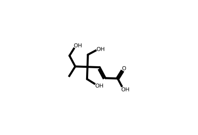 CC(CO)C(C=CC(=O)O)(CO)CO